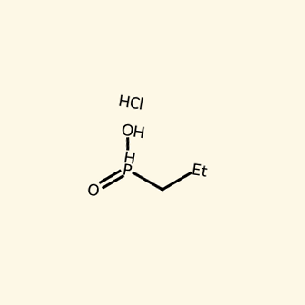 CCC[PH](=O)O.Cl